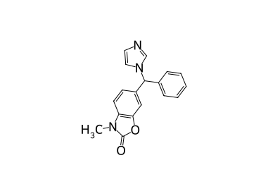 Cn1c(=O)oc2cc(C(c3ccccc3)n3ccnc3)ccc21